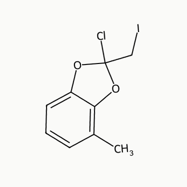 Cc1cccc2c1OC(Cl)(CI)O2